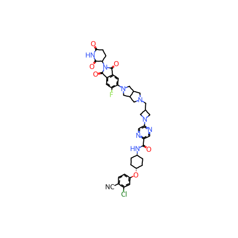 N#Cc1ccc(O[C@H]2CC[C@H](NC(=O)c3cnc(N4CC(CN5CC6CN(c7cc8c(cc7F)C(=O)N(C7CCC(=O)NC7=O)C8=O)CC6C5)C4)cn3)CC2)cc1Cl